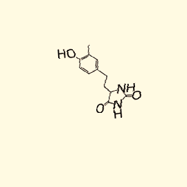 Cc1cc(CCC2NC(=O)NC2=O)ccc1O